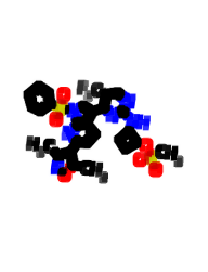 Cc1noc(C)c1-c1ccc2c(-c3nc(NC4CCC4OS(C)(=O)=O)ncc3C(F)(F)F)cn(S(=O)(=O)c3ccccc3)c2n1